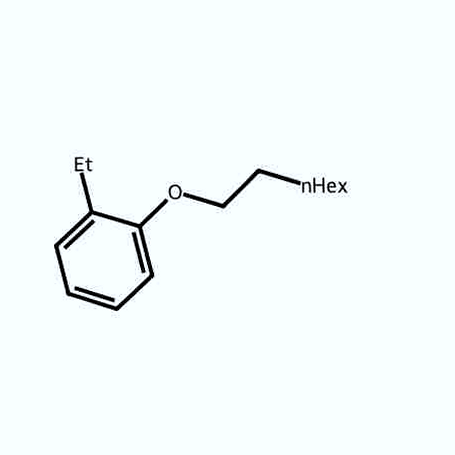 CCCCCCCCOc1ccccc1CC